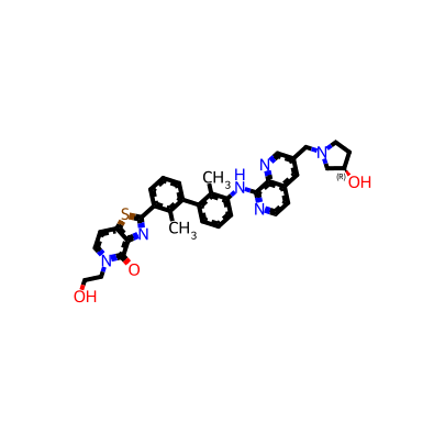 Cc1c(Nc2nccc3cc(CN4CC[C@@H](O)C4)cnc23)cccc1-c1cccc(-c2nc3c(=O)n(CCO)ccc3s2)c1C